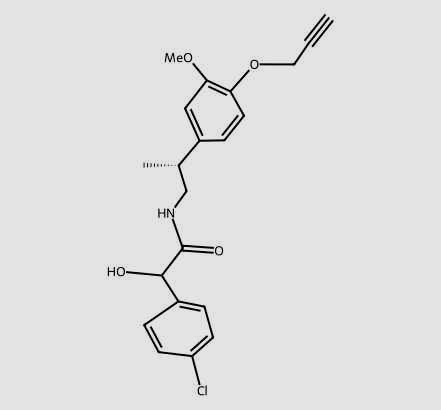 C#CCOc1ccc([C@@H](C)CNC(=O)C(O)c2ccc(Cl)cc2)cc1OC